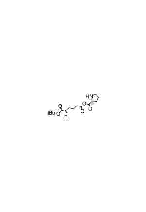 CC(C)(C)OC(=O)NCCCC(=O)OC(=O)[C@@H]1CCCN1